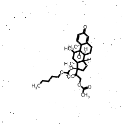 CCCCCOC(=O)O[C@]1(C(=O)COC(C)=O)CC[C@H]2[C@@H]3CCC4=CC(=O)C=C[C@]4(C)[C@@]3(Cl)C(O)C[C@@]21C